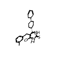 Cc1cccc(Cc2c(=O)[nH]c(=S)[nH]c2[C@H]2CC[C@H](C3C=CC=CC3)CC2)c1